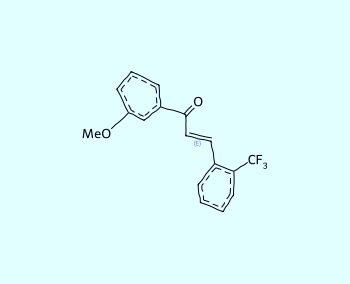 COc1cccc(C(=O)/C=C/c2ccccc2C(F)(F)F)c1